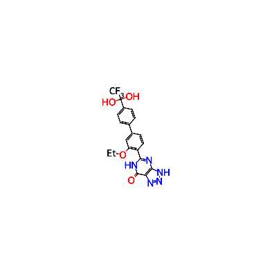 CCOc1cc(-c2ccc(C(O)(O)C(F)(F)F)cc2)ccc1-c1nc2[nH]nnc2c(=O)[nH]1